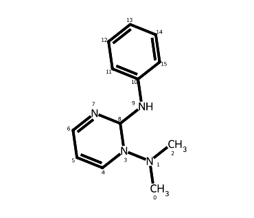 CN(C)N1C=CC=NC1Nc1ccccc1